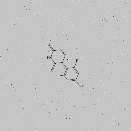 CC(C)c1cc(F)c(C2CCC(=O)NC2=O)c(F)c1